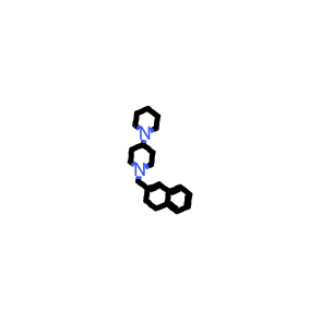 C1=C(CN2CCC(N3CCCCC3)CC2)CCc2ccccc21